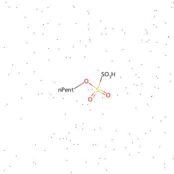 CCCCCOS(=O)(=O)S(=O)(=O)O